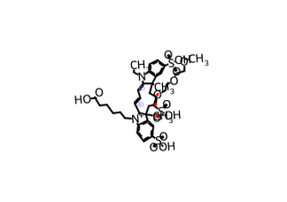 CCN1/C(=C/C=C/C2=[N+](CCCCCC(=O)O)c3ccc(S(=O)(=O)O)cc3C2(C)CCOCCOCCOC)C(C)(CCCS(=O)(=O)O)c2cc(S(=O)(=O)O)ccc21